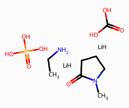 CCN.CN1CCCC1=O.O=C(O)O.O=P(O)(O)O.[LiH].[LiH]